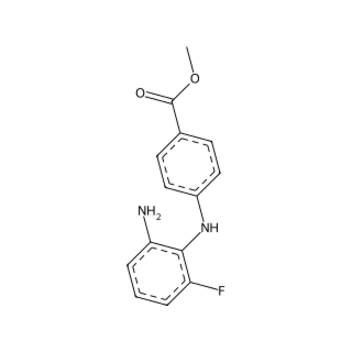 COC(=O)c1ccc(Nc2c(N)cccc2F)cc1